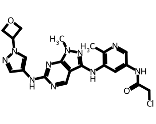 Cc1ncc(NC(=O)CCl)cc1Nc1nn(C)c2nc(Nc3cnn(C4COC4)c3)ncc12